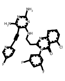 Nc1nc(N)c(C#Cc2ccc(F)cn2)c(NCCc2nc3cccc(Cl)c3c(=O)n2-c2cc(F)cc(F)c2)n1